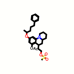 CC(=O)Oc1cc(OC(C)CCCc2ccccc2)cc2c1C(CCOS(C)(=O)=O)CC1CCCCN21